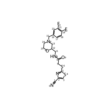 N#Cc1csc(SCC(=O)NCC2CN(Cc3ccc(F)c(F)c3)CCO2)n1